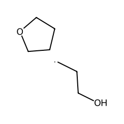 C1CCOC1.[CH2]CCO